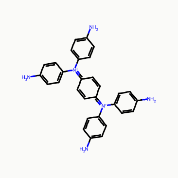 Nc1ccc([N+](=C2C=CC(=[N+](c3ccc(N)cc3)c3ccc(N)cc3)C=C2)c2ccc(N)cc2)cc1